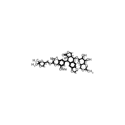 COc1cc(C2c3cc4c(cc3C(OC3OC5COC(C)OC5C(O)C3O)C3COC(=O)[C@H]23)OCO4)cc(OC)c1OC(=O)OCC1COC(C)(C)O1